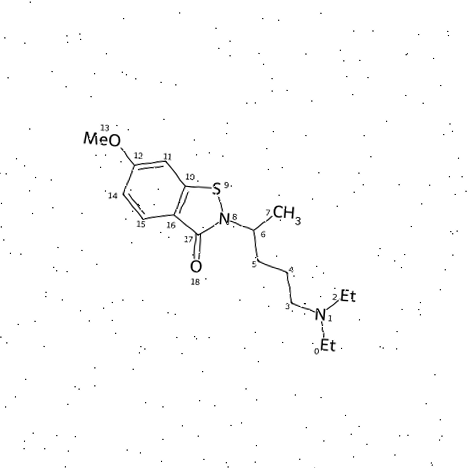 CCN(CC)CCCC(C)n1sc2cc(OC)ccc2c1=O